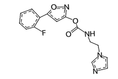 O=C(NCCn1ccnc1)Oc1cc(-c2ccccc2F)on1